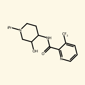 CC(C)N1CCC(NC(=O)c2ncccc2C(F)(F)F)C(O)C1